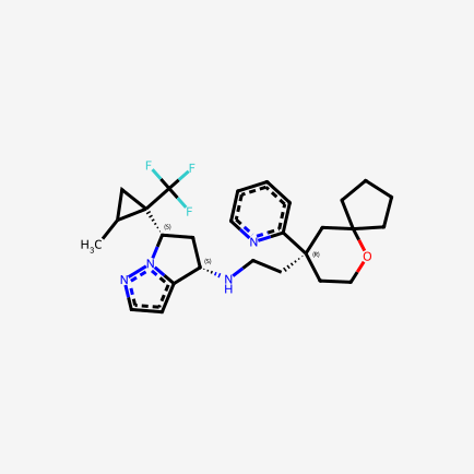 CC1CC1([C@@H]1C[C@H](NCC[C@@]2(c3ccccn3)CCOC3(CCCC3)C2)c2ccnn21)C(F)(F)F